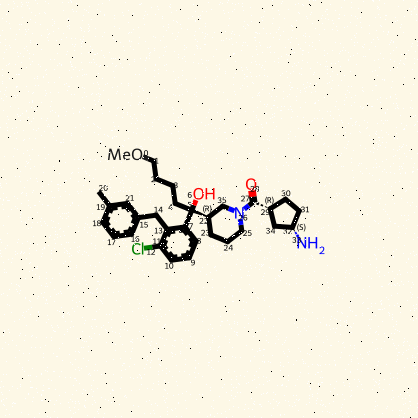 COCCCCC(O)(c1cccc(Cl)c1Cc1cccc(C)c1)[C@@H]1CCCN(C(=O)[C@@H]2CC[C@H](N)C2)C1